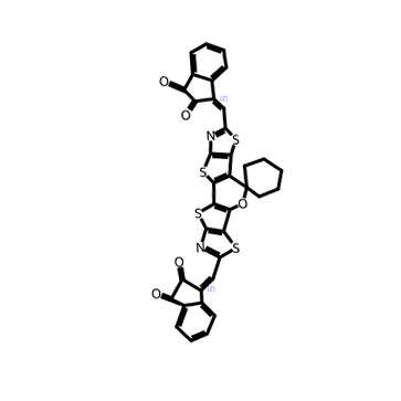 O=C1C(=O)c2ccccc2/C1=C/c1nc2sc3c(c2s1)OC1(CCCCC1)c1c-3sc2nc(/C=C3\C(=O)C(=O)c4ccccc43)sc12